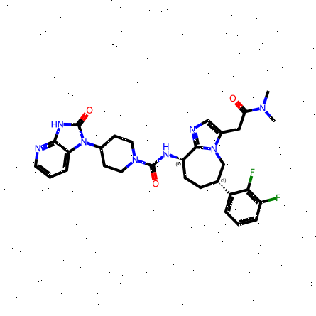 CN(C)C(=O)Cc1cnc2n1C[C@H](c1cccc(F)c1F)CC[C@H]2NC(=O)N1CCC(n2c(=O)[nH]c3ncccc32)CC1